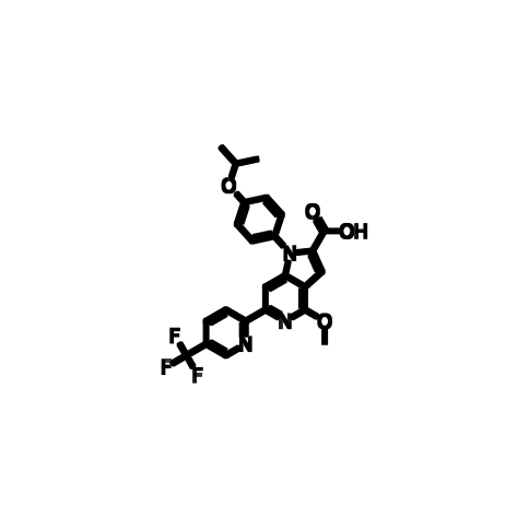 COc1nc(-c2ccc(C(F)(F)F)cn2)cc2c1cc(C(=O)O)n2-c1ccc(OC(C)C)cc1